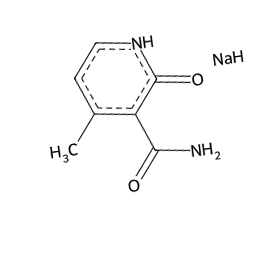 Cc1cc[nH]c(=O)c1C(N)=O.[NaH]